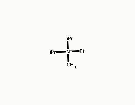 CC[N+](C)(C(C)C)C(C)C